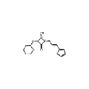 C[C@H]1[C@@H](C/C=C/c2cccs2)C(=O)N1OC1CCCCO1